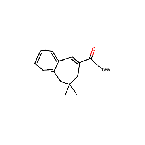 COC(=O)C1=Cc2ccccc2CC(C)(C)C1